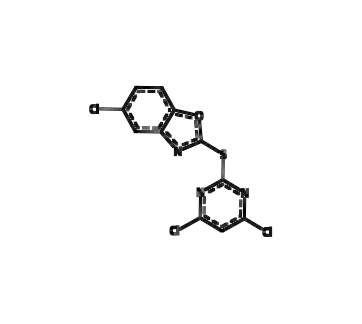 Clc1ccc2oc(Sc3nc(Cl)cc(Cl)n3)nc2c1